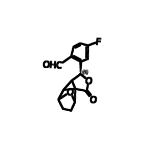 O=Cc1ccc(F)cc1[C@H]1OC(=O)C23C4CCC(O4)C2C13